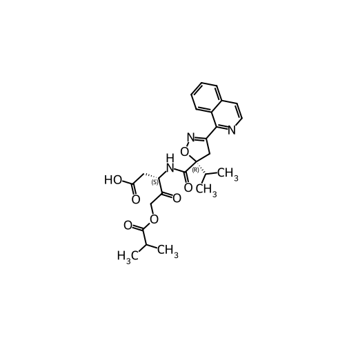 CC(C)C(=O)OCC(=O)[C@H](CC(=O)O)NC(=O)[C@]1(C(C)C)CC(c2nccc3ccccc23)=NO1